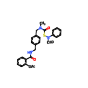 CC(=O)Oc1ccccc1C(=O)NCc1ccc(CN(C)C(=O)SN(C=O)c2ccccc2)cc1